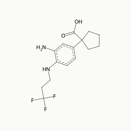 Nc1cc(C2(C(=O)O)CCCC2)ccc1NCCC(F)(F)F